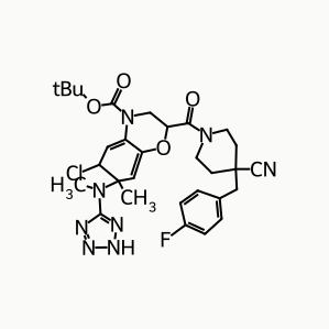 CN(c1nn[nH]n1)C1(C)C=C2OC(C(=O)N3CCC(C#N)(Cc4ccc(F)cc4)CC3)CN(C(=O)OC(C)(C)C)C2=CC1Cl